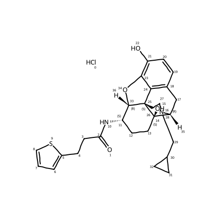 Cl.O=C(CCc1cccs1)N[C@H]1CC[C@@]2(O)[C@H]3Cc4ccc(O)c5c4[C@@]2(CCN3CC2CC2)[C@H]1O5